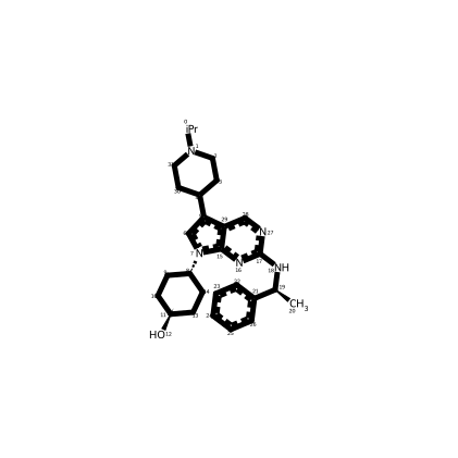 CC(C)N1CCC(c2cn([C@H]3CC[C@H](O)CC3)c3nc(N[C@@H](C)c4ccccc4)ncc23)CC1